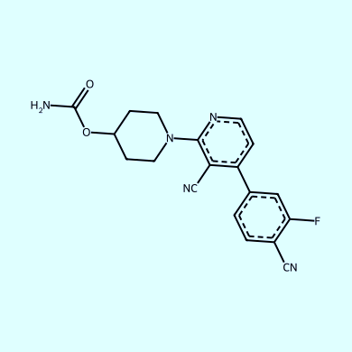 N#Cc1ccc(-c2ccnc(N3CCC(OC(N)=O)CC3)c2C#N)cc1F